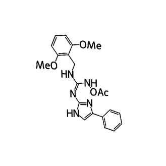 COc1cccc(OC)c1CNC(=Nc1nc(-c2ccccc2)c[nH]1)NOC(C)=O